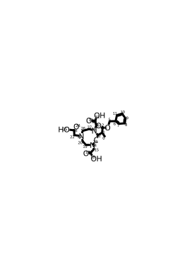 CC(C(=O)OCc1ccccc1)C1CN(CC(=O)O)CCN(CC(=O)O)CCN1CC(=O)O